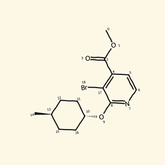 COC(=O)c1ccnc(O[C@H]2CC[C@H](C)CC2)c1Br